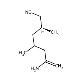 C=C(N)CC(C)C[C@H](C)CC#N